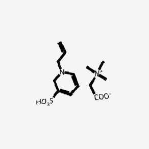 C=CCN1C=CC=C(S(=O)(=O)O)C1.C[N+](C)(C)CC(=O)[O-]